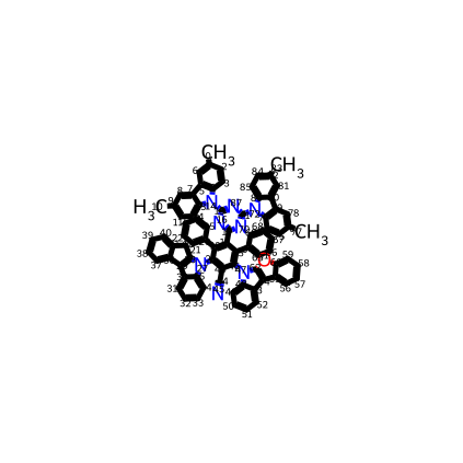 Cc1ccc2c(c1)c1cc(C)ccc1n2-c1nc(-c2c(-c3ccccc3)c(-n3c4c(c5ccccc53)-c3ccccc3C4)c(C#N)c(-n3c4ccccc4c4c5ccccc5oc43)c2-c2ccccc2)nc(-n2c3ccc(C)cc3c3cc(C)ccc32)n1